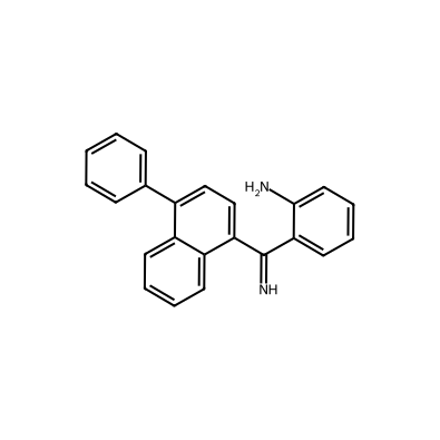 N=C(c1ccccc1N)c1ccc(-c2ccccc2)c2ccccc12